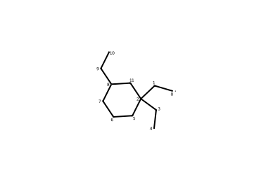 [CH2]CC1(CC)CCCC(CC)C1